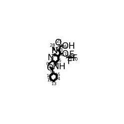 Cc1nc2c(cc1NC(=O)c1ccccc1)c(OCC(F)(F)F)c(C(=O)O)n2C